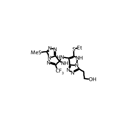 CCSc1[nH]n2c(CCO)nnc2c1NC1(N)C(C(F)(F)F)=Nn2c(SC)nnc21